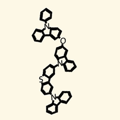 c1ccc(-n2c3ccccc3c3cc(Oc4ccc5c(c4)c4ccccc4n5-c4ccc5sc6ccc(-n7c8ccccc8c8ccccc87)cc6c5c4)ccc32)cc1